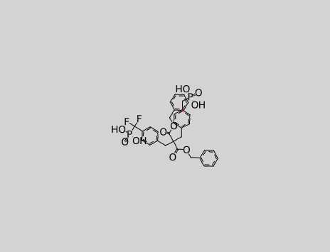 O=C(OCc1ccccc1)C(Cc1ccc(CP(=O)(O)O)cc1)(Cc1ccc(C(F)(F)P(=O)(O)O)cc1)C(=O)OCc1ccccc1